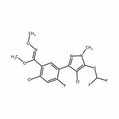 CON=C(OC)c1cc(-c2nn(C)c(OC(F)F)c2Cl)c(F)cc1Cl